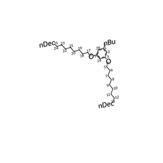 [CH2]CCCc1cc(OCCCCCCCCCCCCCCCCCC)cc(OCCCCCCCCCCCCCCCCCC)c1